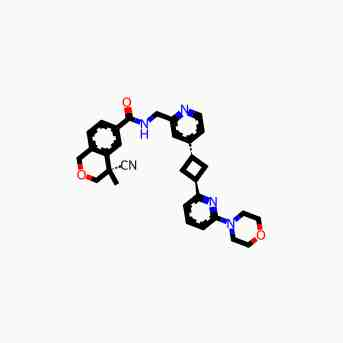 C[C@@]1(C#N)COCc2ccc(C(=O)NCc3cc([C@H]4C[C@H](c5cccc(N6CCOCC6)n5)C4)ccn3)cc21